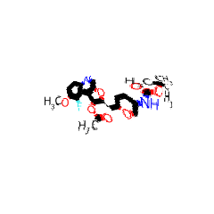 COc1ccc2ncc3c(c2c1F)C(OC(C)=O)[C@@H](CC1CCC(NC(=O)OC(C)(C)C)CO1)O3